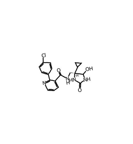 O=C1NC(O)[C@](CNC(=O)c2cccnc2-c2ccc(Cl)cc2)(C2CC2)N1